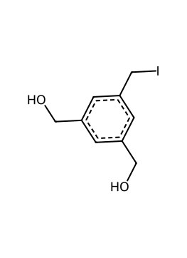 OCc1cc(CO)cc(CI)c1